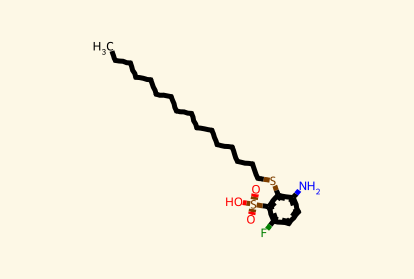 CCCCCCCCCCCCCCCCSc1c(N)ccc(F)c1S(=O)(=O)O